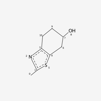 Cc1nc2c(s1)CC(O)CC2